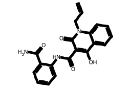 C=CCn1c(=O)c(C(=O)Nc2ccccc2C(N)=O)c(O)c2ccccc21